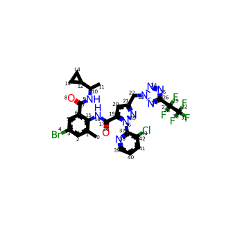 Cc1cc(Br)cc(C(=O)NC(C)C2CC2)c1NC(=O)c1cc(Cn2nnc(C(F)(F)C(F)(F)F)n2)nn1-c1ncccc1Cl